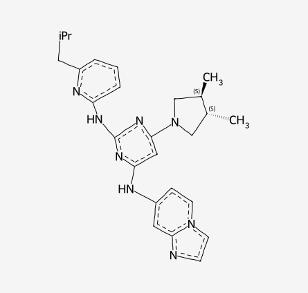 CC(C)Cc1cccc(Nc2nc(Nc3ccn4ccnc4c3)cc(N3C[C@@H](C)[C@H](C)C3)n2)n1